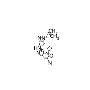 CN(C)CCn1cnc2cc(Nc3ncc4cc(C#N)c(=O)n(C5CCCC5)c4n3)ccc21